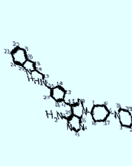 CN1CCN([C@H]2CC[C@@H](n3nc(-c4ccc(NCc5cc6ccccc6[nH]5)cc4)c4c(N)ncnc43)CC2)CC1